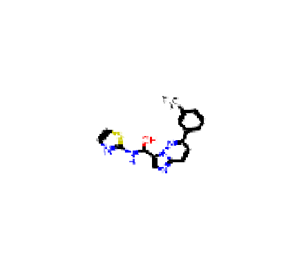 OC(Nc1nccs1)c1cnc2ccc(-c3cccc(C(F)(F)F)c3)nn12